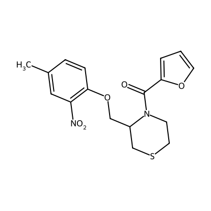 Cc1ccc(OCC2CSCCN2C(=O)c2ccco2)c([N+](=O)[O-])c1